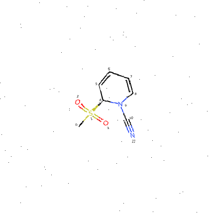 CS(=O)(=O)[C@H]1C=CC=CN1C#N